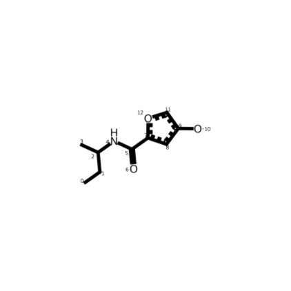 CCC(C)NC(=O)c1cc([O])co1